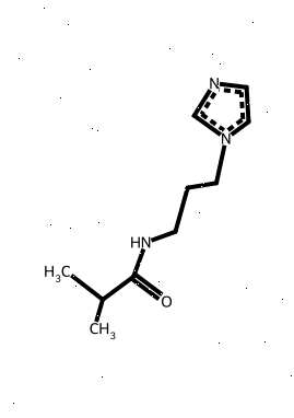 CC(C)C(=O)NCCCn1ccnc1